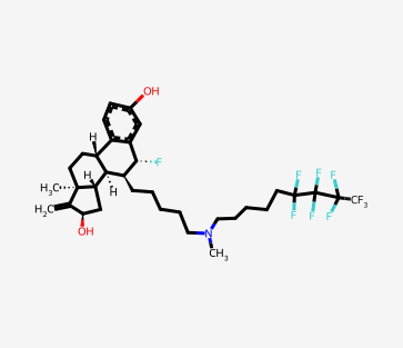 C=C1[C@H](O)C[C@H]2[C@@H]3[C@H](CCCCCN(C)CCCCCC(F)(F)C(F)(F)C(F)(F)C(F)(F)F)[C@@H](F)c4cc(O)ccc4[C@H]3CC[C@]12C